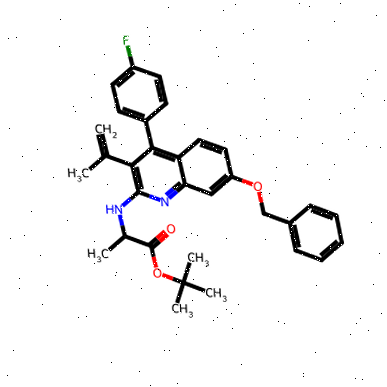 C=C(C)c1c(NC(C)C(=O)OC(C)(C)C)nc2cc(OCc3ccccc3)ccc2c1-c1ccc(F)cc1